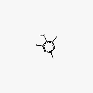 COc1c(I)cc(C)cc1I